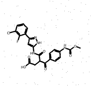 COC(=O)Nc1ccc(C(=O)C(CC(=O)O)C(=O)Nc2cc(-c3cccc(Cl)c3F)n[nH]2)cc1